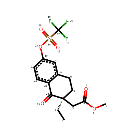 CC[C@@]1(CC(=O)OC)CCc2cc(OS(=O)(=O)C(F)(F)F)ccc2C1=O